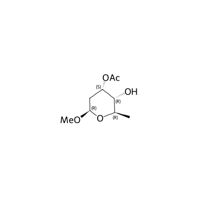 CO[C@H]1C[C@H](OC(C)=O)[C@H](O)[C@@H](C)O1